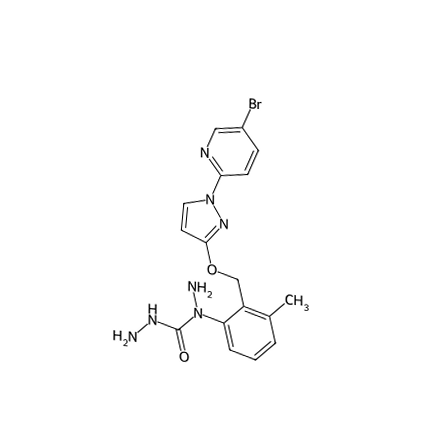 Cc1cccc(N(N)C(=O)NN)c1COc1ccn(-c2ccc(Br)cn2)n1